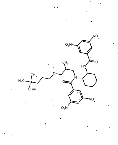 CO[Si](C)(C)CCCOCC(C)CN(C(=O)c1cc([N+](=O)[O-])cc([N+](=O)[O-])c1)[C@H]1CCCC[C@@H]1NC(=O)c1cc([N+](=O)[O-])cc([N+](=O)[O-])c1